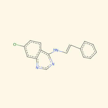 Clc1ccc2c(NC=Cc3ccccc3)ncnc2c1